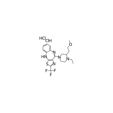 CCN1CCN(C2=Nc3ccccc3Nc3sc(C(F)(F)F)nc32)CC1CCOC.Cl.Cl